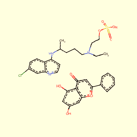 CCN(CCCC(C)Nc1ccnc2cc(Cl)ccc12)CCOS(=O)(=O)O.O=c1cc(-c2ccccc2)oc2cc(O)cc(O)c12